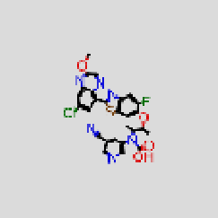 COc1cnc2c(-c3nc4cc(F)c(OC(C)C(C)N(C(=O)O)c5cncc(C#N)c5)cc4s3)cc(Cl)cc2n1